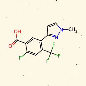 Cn1ccc(-c2cc(C(=O)O)c(F)cc2C(F)(F)F)n1